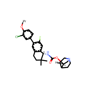 CC(C)Oc1ccc(-c2cc3c(cc2F)[C@H](NC(=O)O[C@@H]2CN4CCC2CC4)C(C)(C)CC3)cc1Cl